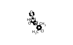 Cc1cc(-n2cc3c(=O)[nH]c(N4CCOCC4)nc3n2)c(C)cc1Cl